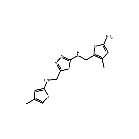 Cc1csc(NCc2nnc(NCc3sc(N)nc3C)s2)c1